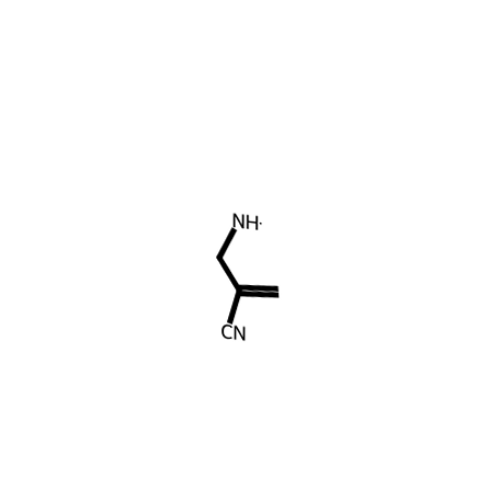 C=C(C#N)C[NH]